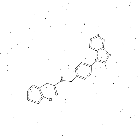 Cc1nc2cnccc2n1-c1ccc(CNC(=O)Cc2ccccc2Cl)cc1